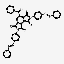 O=C(c1ccccc1)c1cc2c(=O)n(-c3ccc(N=Nc4ccccc4)cc3)c(=O)c2c2c(=O)n(-c3ccc(N=Nc4ccccc4)cc3)c(=O)c12